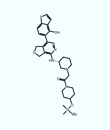 CC(C)(C)[Si](C)(C)OC1CCN(C(=O)CN2CCC[C@@H](Nc3nnc(-c4ccc5sccc5c4O)c4c3COC4)C2)CC1